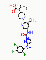 Cc1cc(NC(=O)n2ccc(Nc3cc(F)c(F)cc3F)n2)cnc1N1CCC(C(C)C(=O)O)CC1